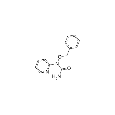 NC(=O)N(OCc1ccccc1)c1ccccn1